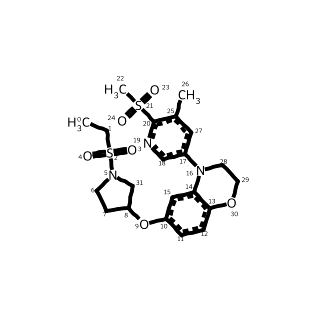 CCS(=O)(=O)N1CCC(Oc2ccc3c(c2)N(c2cnc(S(C)(=O)=O)c(C)c2)CCO3)C1